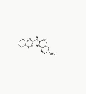 CCCCc1ccc(NC(=N)Nc2nc(C)c3c(n2)CCCC3)c(C)c1